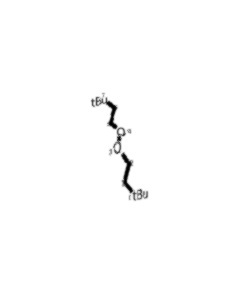 CC(C)(C)CCOOCCC(C)(C)C